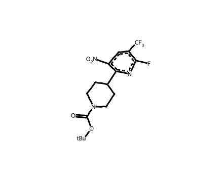 CC(C)(C)OC(=O)N1CCC(c2nc(F)c(C(F)(F)F)cc2[N+](=O)[O-])CC1